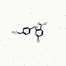 CCc1ccc(Nc2nc(Cl)ccc2[N+](=O)[O-])cc1